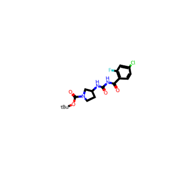 CC(C)(C)OC(=O)N1CCC(NC(=O)NC(=O)c2ccc(Cl)cc2F)C1